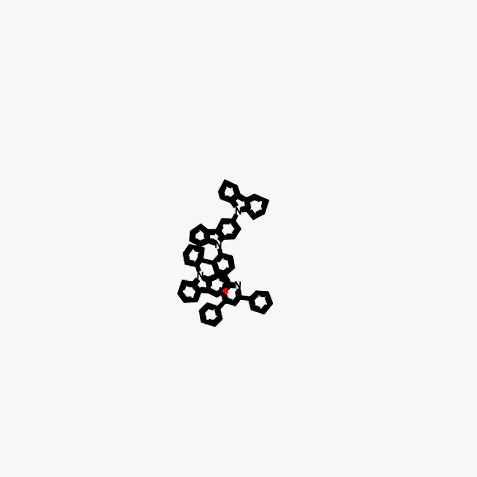 c1ccc(-c2cc(-c3ccccc3)nc(-c3ccc(-n4c5ccccc5c5cc(-n6c7ccccc7c7ccccc76)ccc54)c(-c4ccccc4-n4c5ccccc5c5ccccc54)c3)n2)cc1